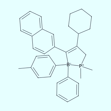 Cc1ccc([B-]2(c3ccccc3)C(c3ccc4ccccc4c3)=C(C3CCCCC3)C[P+]2(C)C)cc1